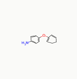 Nc1ccc(OC2=CCCC=C2)cc1